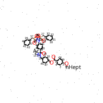 CCCCCCCOc1ccc(C(=O)Oc2ccc(CN(CC(C)=O)C(=O)c3ccc(N(S(=O)(=O)Cc4ccccc4)S(=O)(=O)Cc4ccccc4)cc3)cc2)cc1